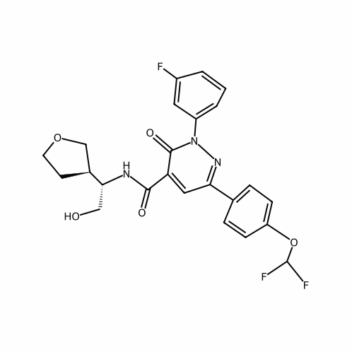 O=C(N[C@H](CO)[C@H]1CCOC1)c1cc(-c2ccc(OC(F)F)cc2)nn(-c2cccc(F)c2)c1=O